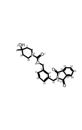 CC1(O)CCN(C(=O)OCc2cccc(CN3C(=O)c4ccccc4C3=O)c2)CC1